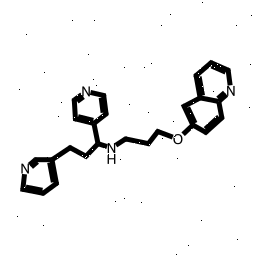 c1cncc(CCC(NCCCOc2ccc3ncccc3c2)c2ccncc2)c1